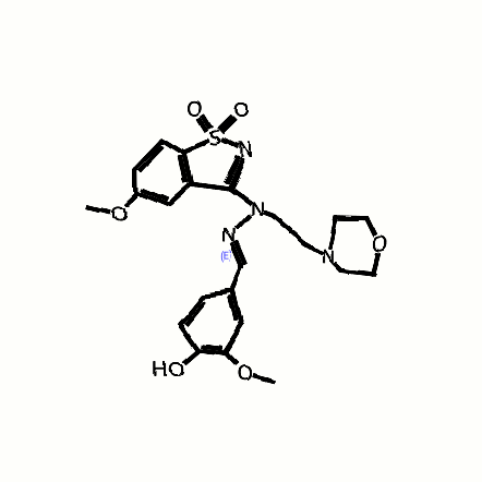 COc1ccc2c(c1)C(N(CCN1CCOCC1)/N=C/c1ccc(O)c(OC)c1)=NS2(=O)=O